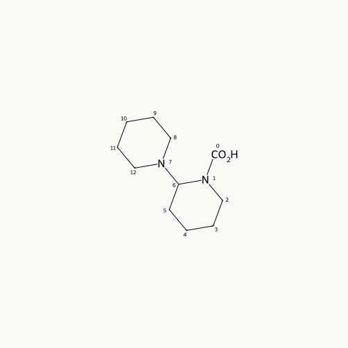 O=C(O)N1CCCCC1N1CCCCC1